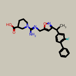 CC(c1ccc(-c2ccccc2)c(F)c1)c1cc(C/N=C(\N)N2CCCC(C(=O)O)C2)on1